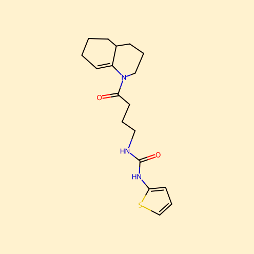 O=C(NCCCC(=O)N1CCCC2CCCC=C21)Nc1cccs1